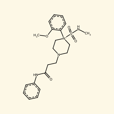 CNS(=O)(=O)[N+]1(c2ccccc2OC)CCN(CCC(=O)Nc2ccccc2)CC1